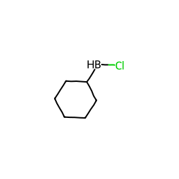 ClBC1CCCCC1